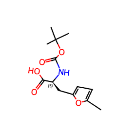 Cc1ccc(C[C@H](NC(=O)OC(C)(C)C)C(=O)O)o1